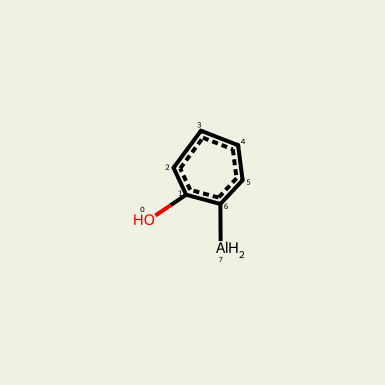 Oc1cccc[c]1[AlH2]